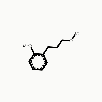 CCOCC[CH]c1ccccc1OC